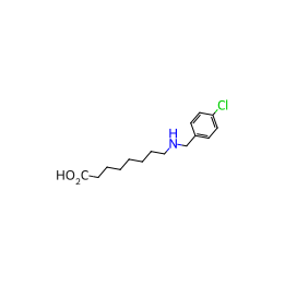 O=C(O)CCCCCCCNCc1ccc(Cl)cc1